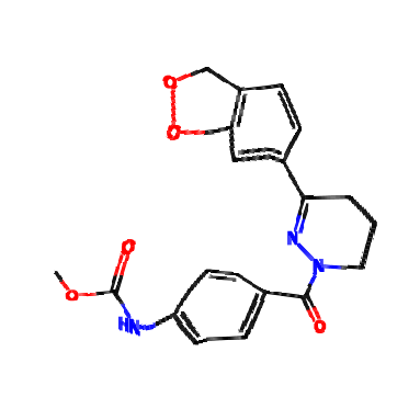 COC(=O)Nc1ccc(C(=O)N2CCCC(c3ccc4c(c3)OOC4)=N2)cc1